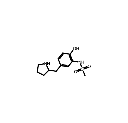 CS(=O)(=O)Nc1cc(CC2CCCN2)ccc1O